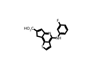 O=C(O)C1=Cc2nc(Nc3cccc(F)c3)c3ccsc3c2C1